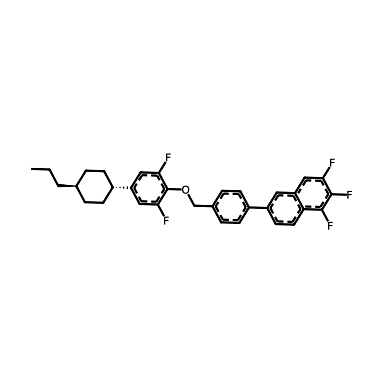 CCC[C@H]1CC[C@H](c2cc(F)c(OCc3ccc(-c4ccc5c(F)c(F)c(F)cc5c4)cc3)c(F)c2)CC1